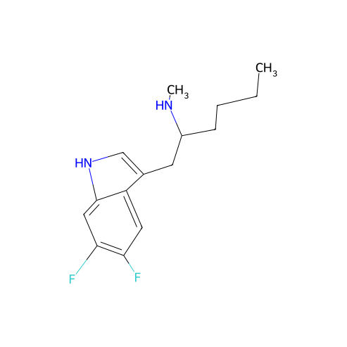 CCCCC(Cc1c[nH]c2cc(F)c(F)cc12)NC